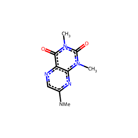 CNc1cnc2c(=O)n(C)c(=O)n(C)c2n1